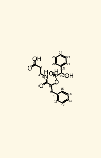 O=C(O)CCNC(=O)C(Cc1ccccc1)O[PH](=O)[C@H](O)c1ccccc1